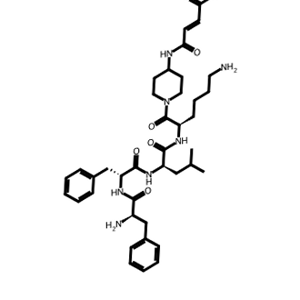 CC(C)C[C@@H](NC(=O)[C@@H](Cc1ccccc1)NC(=O)[C@H](N)Cc1ccccc1)C(=O)N[C@H](CCCCN)C(=O)N1CCC(NC(=O)/C=C/C(=O)O)CC1